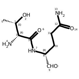 C[C@H](O)[C@@H](N)C(=O)N[C@@H]([C]=O)CCC(N)=O